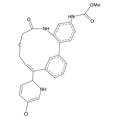 COC(=O)Nc1ccc2c(c1)NC(=O)CCC/C=C(/C1C=CC(Cl)=CN1)c1cccc-2c1